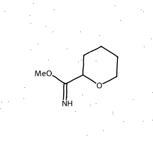 COC(=N)C1CCCCO1